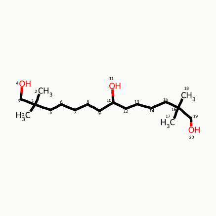 CC(C)(CO)CCCCCC(O)CCCCC(C)(C)CO